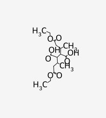 CCOC(=O)CC(C)C(C(=O)O)C(C(=O)O)C(C)CC(=O)OCC